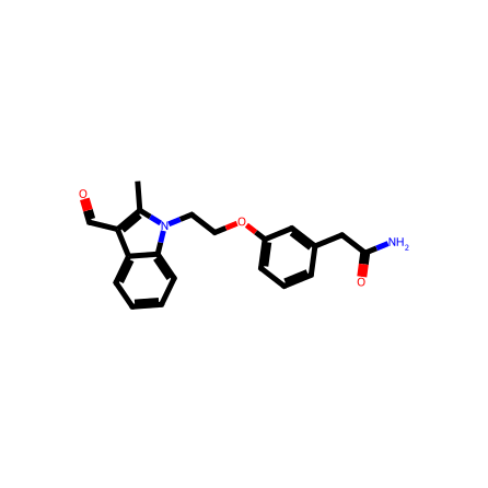 Cc1c(C=O)c2ccccc2n1CCOc1cccc(CC(N)=O)c1